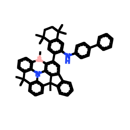 CB1c2cccc3c2N2c4c(cccc4C4(C)c5ccccc5-c5cc(-c6cc7c(cc6Nc6ccc(-c8ccccc8)cc6)C(C)(C)CCC7(C)C)c1c2c54)C3(C)C